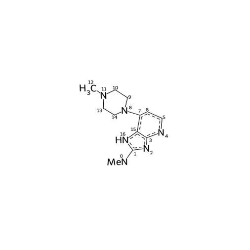 CNc1nc2nccc(N3CCN(C)CC3)c2[nH]1